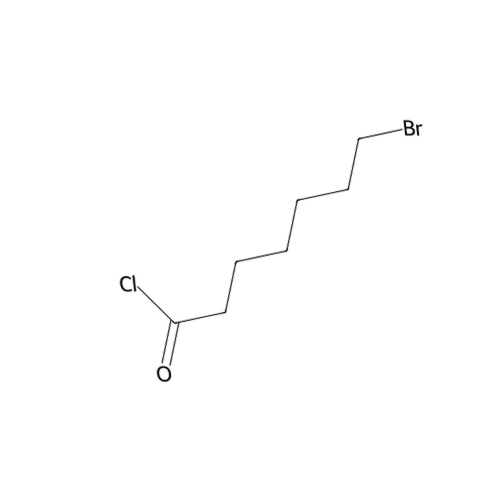 O=C(Cl)CCCCCCBr